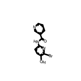 O=C(Nc1ccc(O)c(Br)n1)c1cccnc1